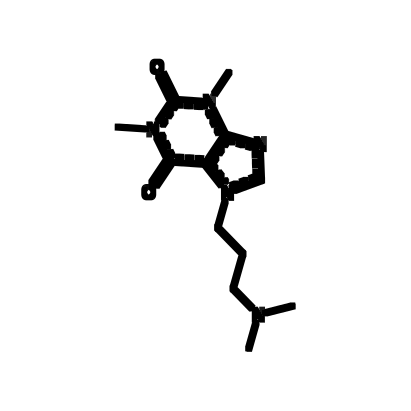 CN(C)CCCn1cnc2c1c(=O)n(C)c(=O)n2C